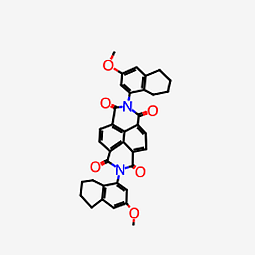 COc1cc2c(c(N3C(=O)c4ccc5c6c(ccc(c46)C3=O)C(=O)N(c3cc(OC)cc4c3CCCC4)C5=O)c1)CCCC2